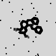 Cc1cc(C)c2c(c1)C(NCc1ccccc1)C(Cc1ccccc1)CC2